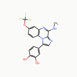 CNc1nc2cc(OC(F)(F)F)ccc2n2c(-c3ccc(O)c(O)c3)cnc12